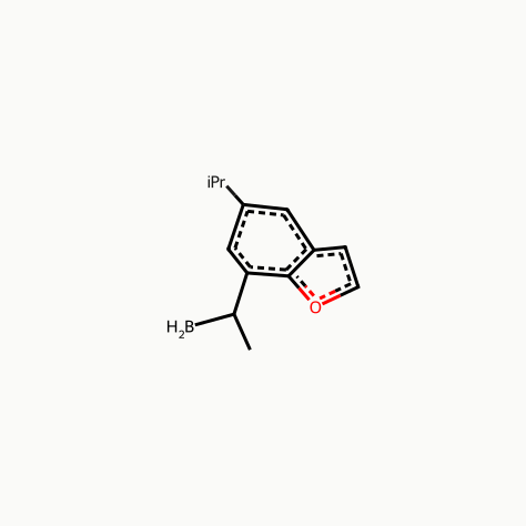 BC(C)c1cc(C(C)C)cc2ccoc12